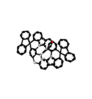 c1ccc2c(c1)-c1ccccc1C21c2ccc3c4c2-n2c5c1cccc5c1ccc[n+](c12)[N+]41c2cccc4c2-n2c5c(cccc5c5ccc([n+]1c52)O3)C41c2ccccc2-c2ccccc21